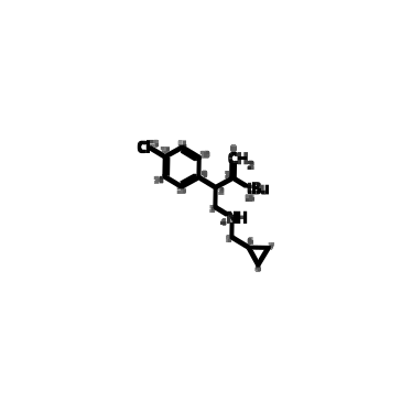 C=C(C(CNCC1CC1)c1ccc(Cl)cc1)C(C)(C)C